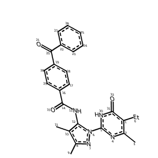 CCc1c(C)nc(-n2nc(C)c(C)c2NC(=O)c2ccc(C(=O)c3ccccc3)cc2)[nH]c1=O